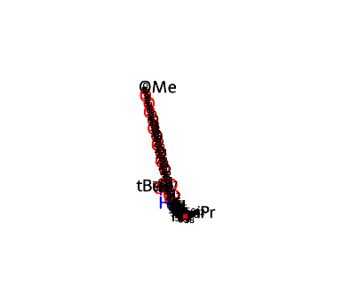 COCCOCCOCCOCCOCCOCCOCCOCCOCCOCCOCCCCOC(=O)[C@H](COC(=O)OC1CC[C@]2(C)C(=CC[C@@H]3[C@H]4CC[C@@H]([C@@H](C)CCCC(C)C)[C@]4(C)CC[C@H]32)C1)NC(=O)OC(C)(C)C